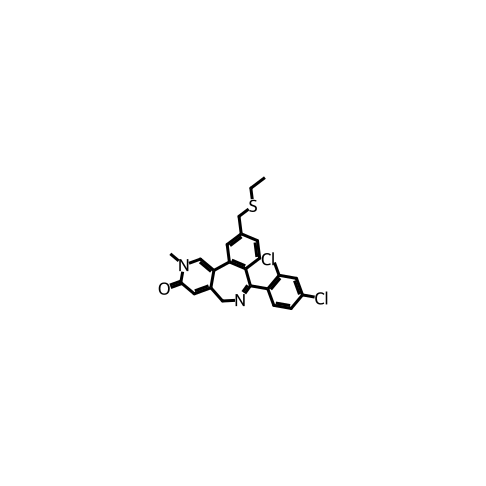 CCSCc1ccc2c(c1)-c1cn(C)c(=O)cc1CN=C2c1ccc(Cl)cc1Cl